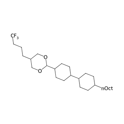 CCCCCCCCC1CCC(C2CCC(C3OCC(CCCC(F)(F)F)CO3)CC2)CC1